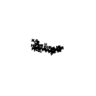 COC(=O)NC(C(=O)NC[C@@H](O)CNCc1c(F)cc(-c2ccc(F)cn2)cc1F)C(C)(C)C(F)(F)F